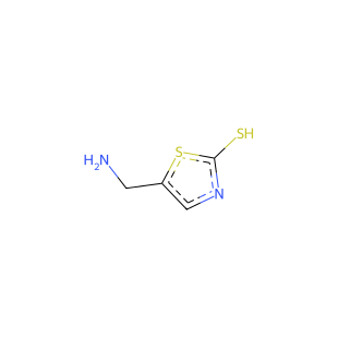 NCc1cnc(S)s1